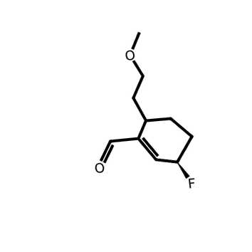 COCCC1CC[C@@H](F)C=C1C=O